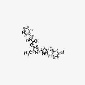 Cc1nc(-c2ccn(Cc3ccc(Cl)cc3F)n2)sc1OC(=O)NCc1cccnc1